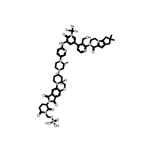 [2H]C([2H])([2H])n1cc(-c2ccnc(N3CCn4c(cc5c4CC(C)(C)C5)C3=O)c2CO)cc(Nc2ccc(N3CCN([C@@H]4CCN5c6cc7c(cc6OC[C@H]5C4)C(=O)N(C4CCC(=O)N(COP(=O)(O)O)C4=O)C7=O)C[C@@H]3C)cn2)c1=O